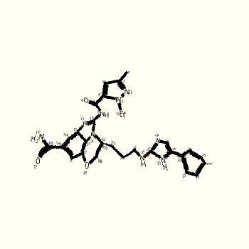 CCn1nc(C)cc1C(=O)Nc1nc2cc(C(N)=O)cc3c2n1[C@@H](CCCNc1ncc(-c2ccccc2)[nH]1)CO3